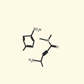 CC(N)C#CC(=O)N(C)C.Cc1ccc(S(=O)(=O)O)cc1